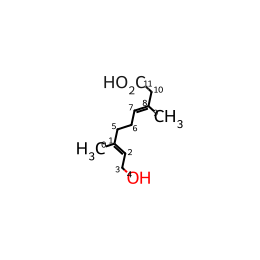 CC(=CCO)CCC=C(C)CC(=O)O